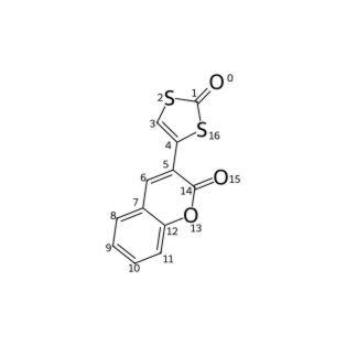 O=c1scc(-c2cc3ccccc3oc2=O)s1